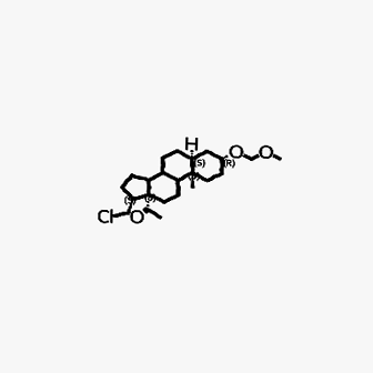 COCO[C@@H]1CC[C@]2(C)C3CC[C@]4(C(C)=O)C(CC[C@@H]4CCl)C3CC[C@H]2C1